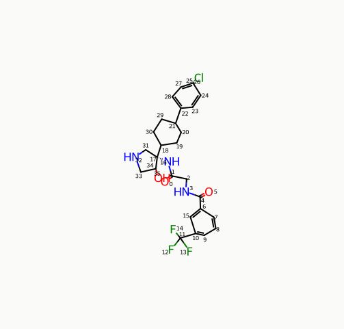 O=C(CNC(=O)c1cccc(C(F)(F)F)c1)N[C@@]1(C2CCC(c3ccc(Cl)cc3)CC2)CNC[C@@H]1O